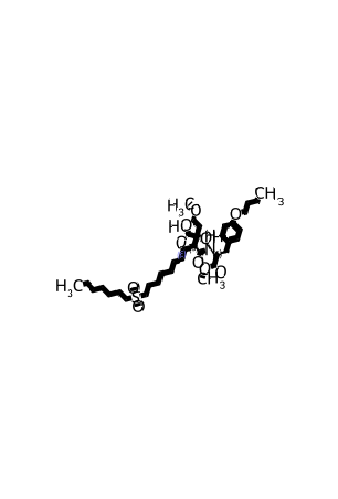 CCCCCCCS(=O)(=O)CCCCCC/C=C/[C@H](C(=O)N[C@@H](Cc1ccc(OCCCC)cc1)C(=O)OC)[C@@](O)(CCOC)C(=O)O